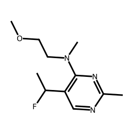 COCCN(C)c1nc(C)ncc1C(C)F